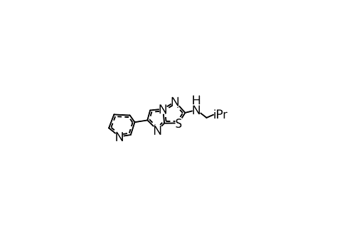 CC(C)CNc1nn2cc(-c3cccnc3)nc2s1